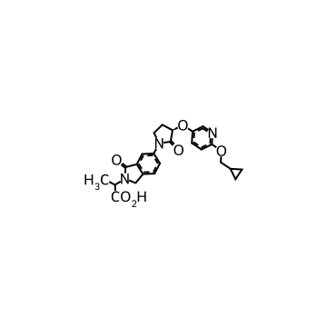 CC(C(=O)O)N1Cc2ccc(N3CC[C@@H](Oc4ccc(OCC5CC5)nc4)C3=O)cc2C1=O